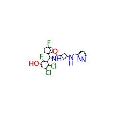 O=C(N[C@H](c1c(F)c(O)cc(Cl)c1Cl)C12CCC(F)(CC1)C2)C1CC(NCc2cccnn2)C1